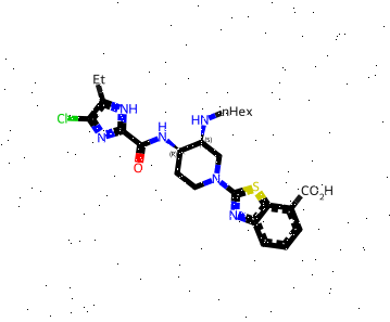 CCCCCCN[C@H]1CN(c2nc3cccc(C(=O)O)c3s2)CC[C@H]1NC(=O)c1nc(Cl)c(CC)[nH]1